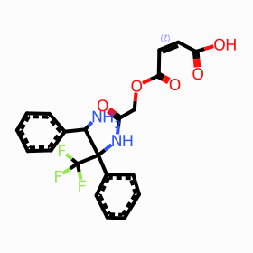 NC(c1ccccc1)C(NC(=O)COC(=O)/C=C\C(=O)O)(c1ccccc1)C(F)(F)F